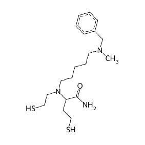 CN(CCCCCN(CCS)C(CCS)C(N)=O)Cc1ccccc1